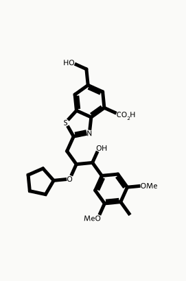 COc1cc(C(O)C(Cc2nc3c(C(=O)O)cc(CO)cc3s2)OC2CCCC2)cc(OC)c1C